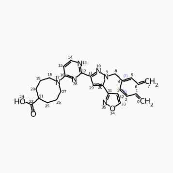 C=C/C=C\C(=C/C=C)Cn1nc(-c2nccc(N3CCCC(C(=O)O)CCC3)n2)cc1-c1ccon1